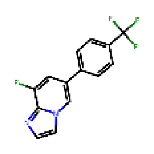 Fc1cc(-c2ccc(C(F)(F)F)cc2)cn2ccnc12